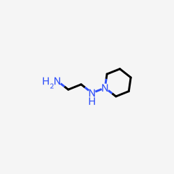 NCCNN1CCCCC1